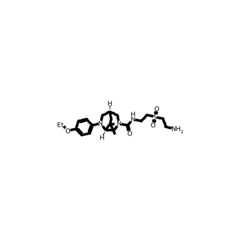 CCOc1ccc(N2C[C@H]3CN(C(=O)NCCS(=O)(=O)CCN)C[C@@H]2C(C)(C)C3)cc1